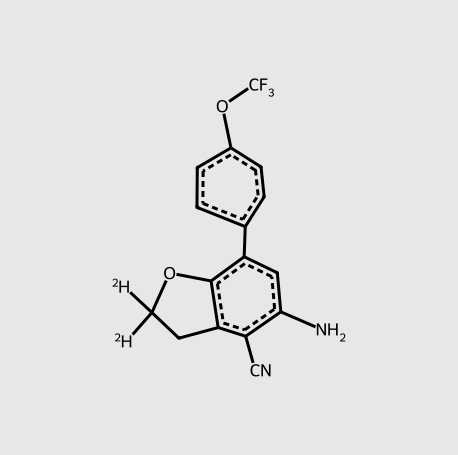 [2H]C1([2H])Cc2c(C#N)c(N)cc(-c3ccc(OC(F)(F)F)cc3)c2O1